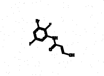 O=C(C=CO)Nc1cc(F)cc(Br)c1F